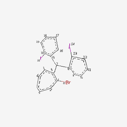 Brc1ccccc1C(c1ccccc1I)c1ccccc1I